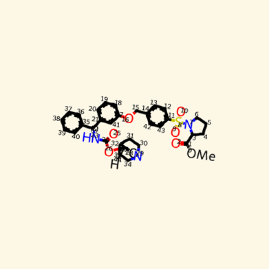 COC(=O)C1CCCN1S(=O)(=O)c1ccc(COc2cccc([C@@H](NC(=O)O[C@H]3CN4CCC3CC4)c3ccccc3)c2)cc1